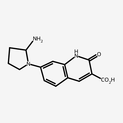 NC1CCCN1c1ccc2cc(C(=O)O)c(=O)[nH]c2c1